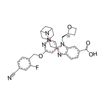 N#Cc1ccc(COc2cccc(N3C4CC3CN(Cc3nc5ccc(C(=O)O)cc5n3C[C@@H]3CCO3)C4)n2)c(F)c1